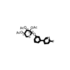 CC(=O)O[C@@H]1[C@@H](OC(C)=O)[C@@H](Oc2cccc(-c3ccc(F)nc3)c2)SC[C@H]1OC(C)=O